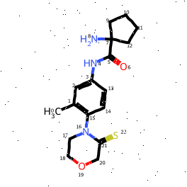 Cc1cc(NC(=O)C2(N)CCCC2)ccc1N1CCOCC1=S